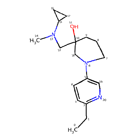 CCc1ccc(N2CCCC(O)(CN(C)C3CC3)C2)cn1